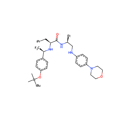 CC[C@@H](CNc1ccc(N2CCOCC2)cc1)NC(=O)[C@H](CC(C)C)N[C@@H](c1ccc(O[Si](C)(C)C(C)(C)C)cc1)C(F)(F)F